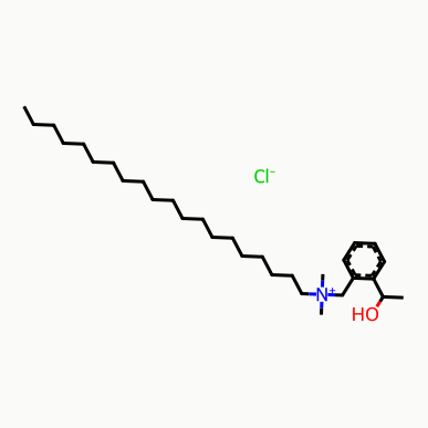 CCCCCCCCCCCCCCCCCCCC[N+](C)(C)Cc1ccccc1C(C)O.[Cl-]